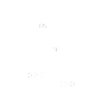 CCOC(=O)C(=CN1CCNCC1)C(=O)OCC